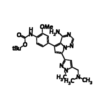 COc1cc(-c2cc(-c3cc(CN(C)C)n(C)n3)n3ncnc(N)c23)ccc1NC(=O)OC(C)(C)C